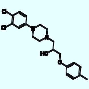 Cc1ccc(OCC(O)CN2CCN(c3ccc(Cl)c(Cl)c3)CC2)cc1